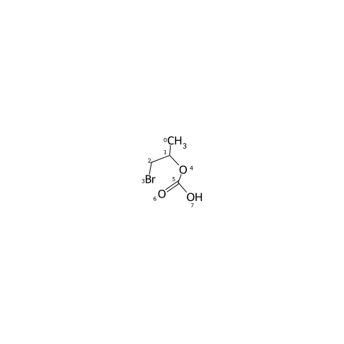 CC(CBr)OC(=O)O